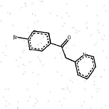 O=C(Cc1ccccn1)c1ccc(Br)cc1